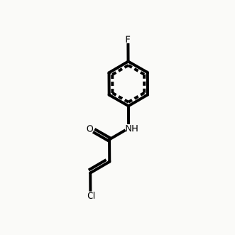 O=C(C=CCl)Nc1ccc(F)cc1